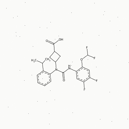 CC(C)c1ccccc1N(C(=O)Nc1cc(F)c(F)cc1OC(F)F)C1CC(C(=O)O)C1